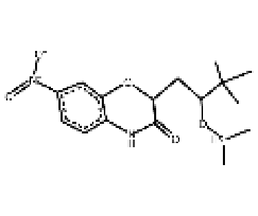 C[SiH](C)OC(CC1Oc2cc([N+](=O)[O-])ccc2NC1=O)C(C)(C)C